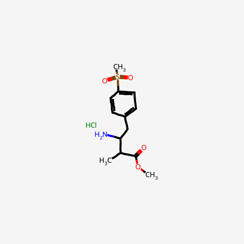 COC(=O)C(C)C(N)Cc1ccc(S(C)(=O)=O)cc1.Cl